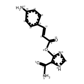 NC(=O)c1[nH]cnc1OC(=O)C=Cc1ccc(N)cc1